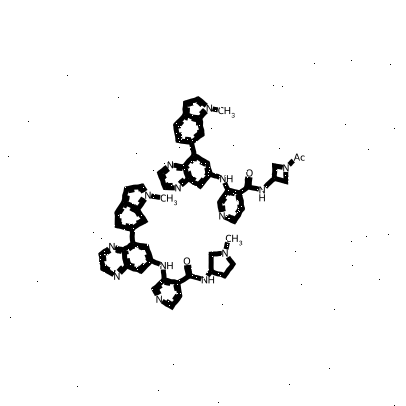 CC(=O)N1CC(NC(=O)c2ccncc2Nc2cc(-c3ccc4ccn(C)c4c3)c3nccnc3c2)C1.CN1CCC(NC(=O)c2ccncc2Nc2cc(-c3ccc4ccn(C)c4c3)c3nccnc3c2)C1